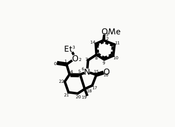 C=C(OCC)C1=C2N(Cc3cccc(OC)c3)C(=O)CC2(C)CCC1